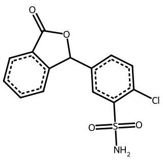 NS(=O)(=O)c1cc(C2OC(=O)c3ccccc32)ccc1Cl